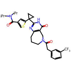 CC(C)N(C(=O)c1csc(C2(c3nc4c(c(=O)[nH]3)CN(C(=O)Cc3cccc(C(F)(F)F)c3)CCC4)CC2)c1)C(C)C